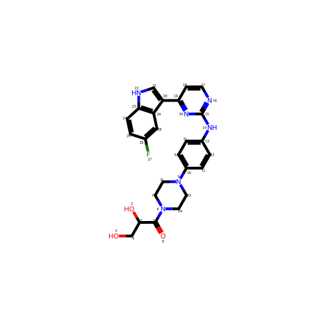 O=C(C(O)CO)N1CCN(c2ccc(Nc3nccc(-c4c[nH]c5ccc(F)cc45)n3)cc2)CC1